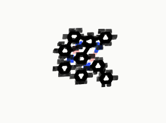 c1ccc(-c2ccc3c(c2)N(c2ccccc2)c2cc4c5c6c2B3n2c3ccccc3c3cc7c8cccc9c8n(c7c-6c32)B5c2c-9cccc2N4c2ccccc2)cc1